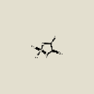 CCS1(=O)=NC(=O)[C@H](C)N1